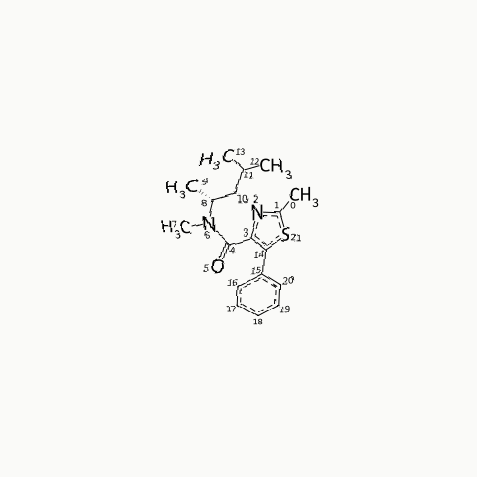 Cc1nc(C(=O)N(C)[C@H](C)CC(C)C)c(-c2ccccc2)s1